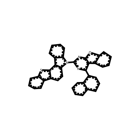 c1ccc2c(-c3nc(-n4c5ccccc5c5c6sc7ccccc7c6ccc54)nc4oc5ccccc5c34)cccc2c1